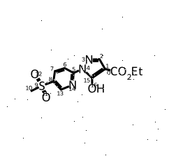 CCOC(=O)c1cnn(-c2ccc(S(C)(=O)=O)cn2)c1O